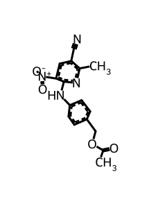 CC(=O)OCc1ccc(Nc2nc(C)c(C#N)cc2[N+](=O)[O-])cc1